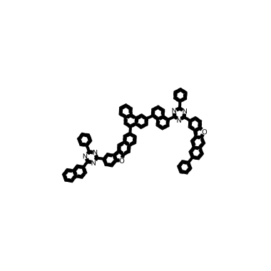 c1ccc(-c2ccc3cc4oc5ccc(-c6nc(-c7ccccc7)nc(-c7cccc8c(-c9ccc%10c(-c%11ccc%12cc%13oc%14ccc(-c%15nc(-c%16ccccc%16)nc(-c%16ccc%17ccccc%17c%16)n%15)cc%14c%13cc%12c%11)cc%11ccccc%11c%10c9)cccc78)n6)cc5c4cc3c2)cc1